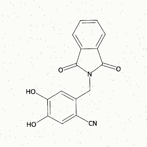 N#Cc1cc(O)c(O)cc1CN1C(=O)c2ccccc2C1=O